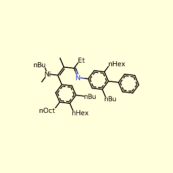 CCCCCCCCc1cc([C](=C(C)C(CC)=Nc2cc(CCCC)c(-c3ccccc3)c(CCCCCC)c2)[Ni]([CH3])[CH2]CCC)cc(CCCC)c1CCCCCC